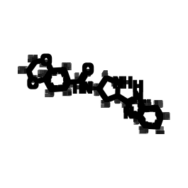 O=C(N[C@@H]1CNC(c2nc3ccccc3[nH]2)C1)c1ccc2c(c1)OCCO2